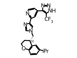 CC(C)c1ccc2c(c1)[C@@H](Cn1cnc(-c3cc(-c4nn[nH]c4C(F)(F)F)ccn3)c1)CCO2